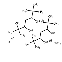 CC(C)(C)C(O)CC(O)C(C)(C)C.CC(C)(C)C(O)CC(O)C(C)(C)C.F.F.F.[SbH3]